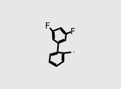 [CH2]c1ccccc1-c1cc(F)cc(F)c1